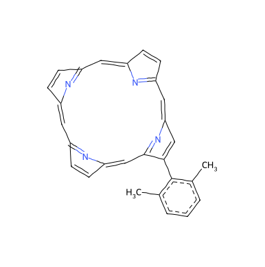 Cc1cccc(C)c1C1=CC2=CC3=NC(=CC4=NC(=CC5=NC(=CC1=N2)C=C5)C=C4)C=C3